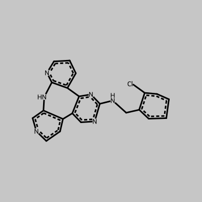 Clc1ccccc1CNc1ncc2c(n1)-c1cccnc1Nc1cnccc1-2